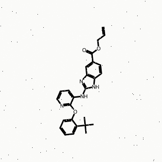 C=CCOC(=O)c1ccc2[nH]c(Nc3cccnc3Oc3ccccc3C(C)(C)C)nc2c1